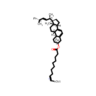 CCCCCCCC/C=C\CCCCCCCC(=O)O[C@H]1CC[C@]2(C)C(=CC=C3[C@H]2CC[C@]2(C)[C@@H]([C@H](C)C=C[C@H](C)C(C)C)CC[C@@H]32)C1